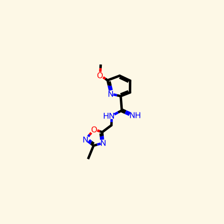 COc1cccc(C(=N)NCc2nc(C)no2)n1